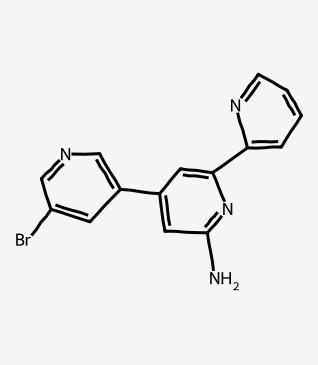 Nc1cc(-c2cncc(Br)c2)cc(-c2ccccn2)n1